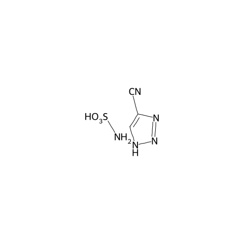 N#Cc1c[nH]nn1.NS(=O)(=O)O